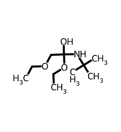 CCOCC(O)(NC(C)(C)C)OCC